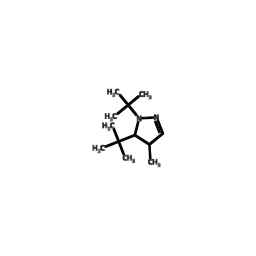 CC1C=NN(C(C)(C)C)C1C(C)(C)C